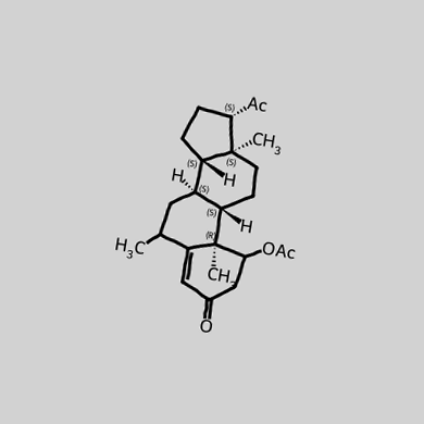 CC(=O)OC1CC(=O)C=C2C(C)C[C@H]3[C@@H]4CC[C@H](C(C)=O)[C@@]4(C)CC[C@@H]3[C@]21C